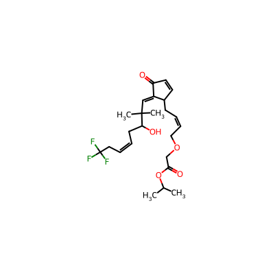 CC(C)OC(=O)COC/C=C\CC1C=CC(=O)/C1=C/C(C)(C)C(O)C/C=C\CC(F)(F)F